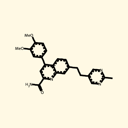 COc1ccc(-c2cc(C(N)=O)nc3cc(CCc4cnc(C)nc4)ccc23)cc1OC